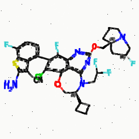 N#Cc1c(N)sc2c(F)ccc(-c3c(Cl)c4c5c(nc(OC[C@@]67CCCN6C[C@H](F)C7)nc5c3F)N(CC(F)F)[C@@H](C3CCC3)CO4)c12